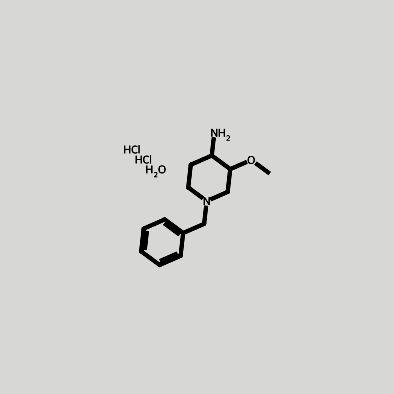 COC1CN(Cc2ccccc2)CCC1N.Cl.Cl.O